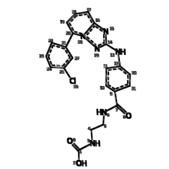 O=C(O)NCCNC(=O)c1ccc(Nc2nc3cccc(-c4cccc(Cl)c4)n3n2)cc1